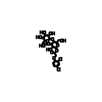 O=C(COc1ccc(Cl)cc1Cl)O[C@@H]1O[C@H](CO)[C@@H](O[C@@H]2O[C@H](CO)[C@@H](O)[C@H](O)[C@H]2O)[C@H](O)[C@H]1O